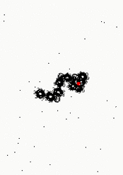 O=P(c1ccc2oc3ccc(-c4ccc5oc6ccc(-c7ccccc7)cc6c5c4)cc3c2c1)(c1cccc2ccccc12)c1cccc2ccccc12